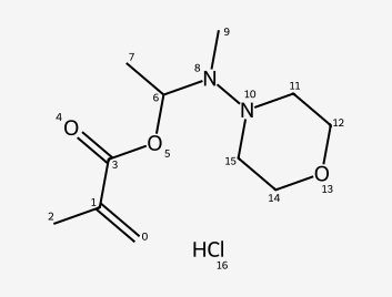 C=C(C)C(=O)OC(C)N(C)N1CCOCC1.Cl